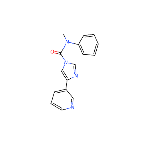 CN(C(=O)n1cnc(-c2cccnc2)c1)c1ccccc1